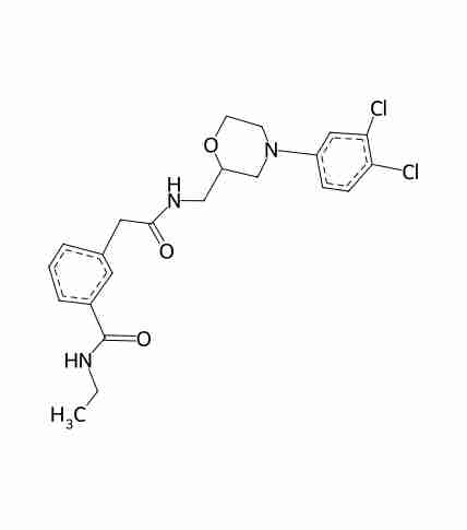 CCNC(=O)c1cccc(CC(=O)NCC2CN(c3ccc(Cl)c(Cl)c3)CCO2)c1